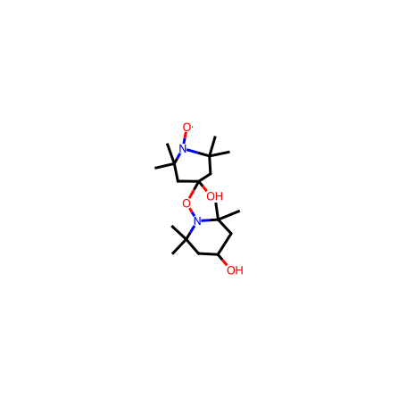 CC1(C)CC(O)(ON2C(C)(C)CC(O)CC2(C)C)CC(C)(C)N1[O]